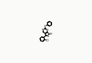 Clc1ccccc1-c1n[nH]c2nc(Oc3ccccc3)ncc12